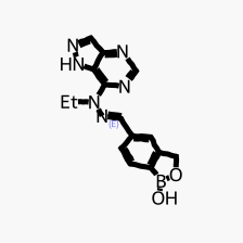 CCN(/N=C/c1ccc2c(c1)COB2O)c1ncnc2cn[nH]c12